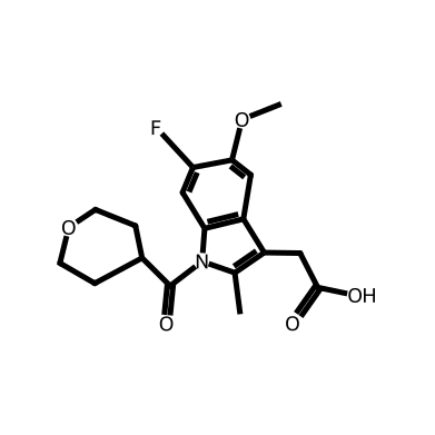 COc1cc2c(CC(=O)O)c(C)n(C(=O)C3CCOCC3)c2cc1F